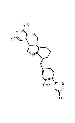 COc1cc(/C=C2\CCCN3C2=NOC(c2cc(C)cc(F)c2)[C@@H]3CO)ccc1-n1cnc(C)c1